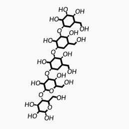 OCC1O[C@@H](O)C(O)[C@@H](O)[C@@H]1O[C@@H]1OC(CO)[C@H](O)[C@H](O[C@@H]2CC(CO)[C@H](O)[C@H](O[C@@H]3CC(CO)[C@H](O)[C@H](O[C@@H]4CC(CO)[C@H](O)[C@H](O)C4O)C3O)C2O)C1O